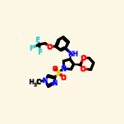 Cn1cnc(S(=O)(=O)N2C[C@H](Nc3cccc(OCC(F)(F)F)c3)[C@@H](C3OCCCO3)C2)c1